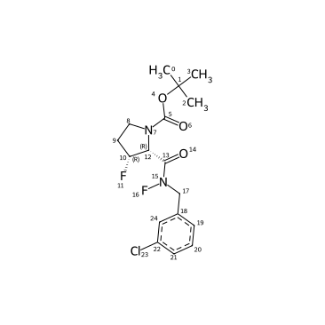 CC(C)(C)OC(=O)N1CC[C@@H](F)[C@H]1C(=O)N(F)Cc1cccc(Cl)c1